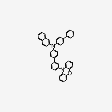 c1ccc(-c2ccc(N(c3ccc(-c4cccc(N5c6ccccc6Oc6ccccc65)c4)cc3)c3ccc4ccccc4c3)cc2)cc1